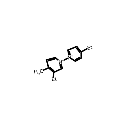 CCc1cc[n+](-[n+]2ccc(C)c(CC)c2)cc1